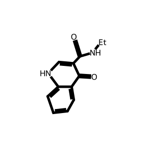 CCNC(=O)c1c[nH]c2ccccc2c1=O